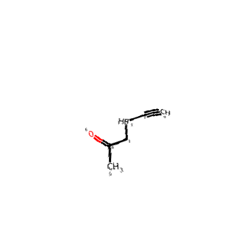 C#CBCC(C)=O